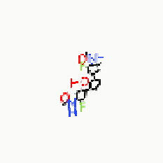 CC(=O)Nc1ccc(-c2cccc(-c3cc(C)c(NC(C)=O)c(F)c3)c2O)cc1F